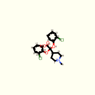 CN1CCC(C(Oc2ccccc2Cl)(Oc2ccccc2Cl)C(=O)O)CC1